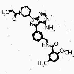 C=CC(=O)N1CCC[C@@H](n2nc(-c3cccc(CNC(=O)c4cc(C)ccc4OC)c3)c3c(N)ncnc32)C1